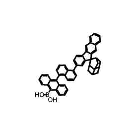 OB(O)c1c2ccccc2c(-c2cccc3c(-c4ccc5c(c4)C4(c6cc7ccccc7cc6-5)C5CC6CC(C5)CC4C6)cccc23)c2ccccc12